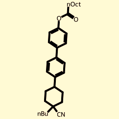 CCCCCCCCC(=O)Oc1ccc(-c2ccc(C3CCC(C#N)(CCCC)CC3)cc2)cc1